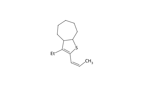 C/C=C\C1=C(CC)C2CCCCCC2S1